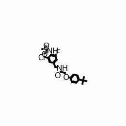 CC(C)(C)c1ccc(OCC(=O)NCc2cc(F)c(NS(C)(=O)=O)c(Cl)c2)cc1